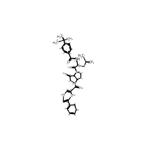 CC(C)C[C@H](NC(=O)c1ccc(C(C)(C)C)cc1)C(=O)N1CCC2C1C(=O)CN2C(=O)C1=COC=C(C2=CC=CCC2)O1